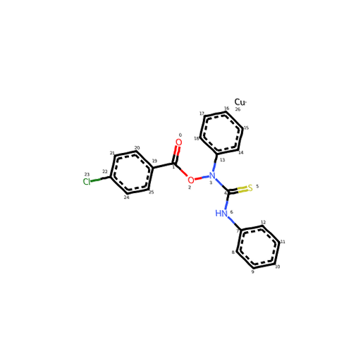 O=C(ON(C(=S)Nc1ccccc1)c1ccccc1)c1ccc(Cl)cc1.[Cu]